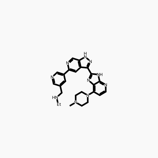 CCNCc1cncc(-c2cc3c(-c4nc5c(N6CCN(C)CC6)ccnc5[nH]4)n[nH]c3cn2)c1